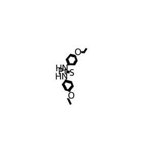 CCOc1ccc(NC(=S)Nc2ccc(OCC)cc2)cc1.[Pt]